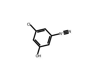 N#[N+]c1cc(O)cc(Cl)c1